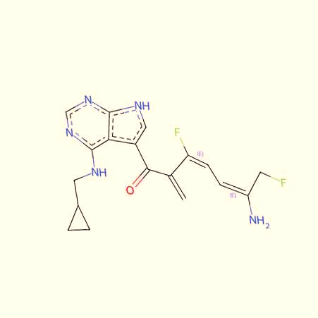 C=C(C(=O)c1c[nH]c2ncnc(NCC3CC3)c12)/C(F)=C\C=C(\N)CF